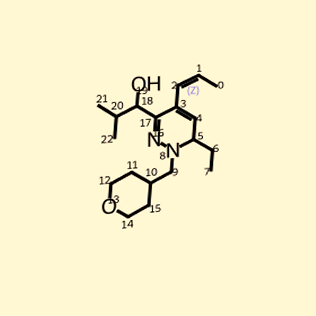 C/C=C\C1=CC(CC)N(CC2CCOCC2)N=C1C(O)C(C)C